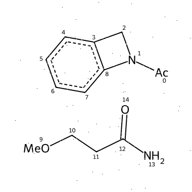 CC(=O)N1Cc2ccccc21.COCCC(N)=O